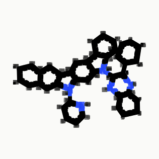 c1ccc(-c2nc3ccccc3nc2-n2c3ccccc3c3cc4c5cc6ccccc6cc5n(-c5ccccn5)c4cc32)cc1